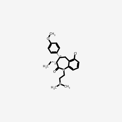 CC[C@H]1C(=O)N(CCN(C)C)c2cccc(Cl)c2C[C@H]1c1ccc(OC)cc1